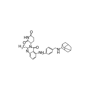 Cc1nc2cccc(NCc3ccc(CNC4C5CC6CC(C5)CC4C6)cc3)c2c(=O)n1C1CCC(=O)NC1=O